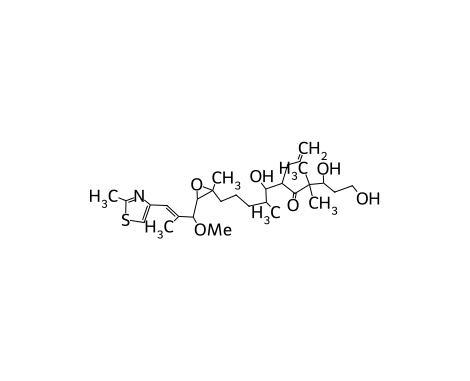 C=CCC(C(=O)C(C)(C)C(O)CCO)C(O)C(C)CCCC1(C)OC1C(OC)/C(C)=C/c1csc(C)n1